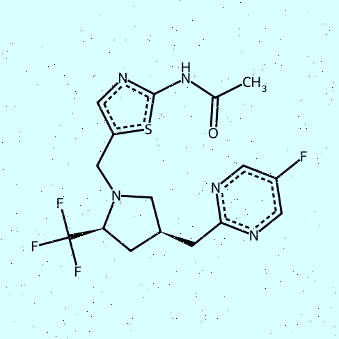 CC(=O)Nc1ncc(CN2C[C@@H](Cc3ncc(F)cn3)C[C@H]2C(F)(F)F)s1